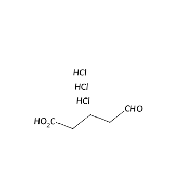 Cl.Cl.Cl.O=CCCCC(=O)O